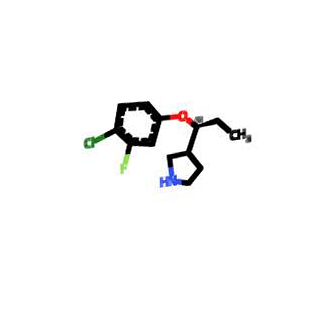 CC[C@H](Oc1ccc(Cl)c(F)c1)C1CCNC1